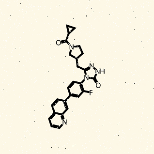 O=C(C1CC1)N1CCC(Cc2n[nH]c(=O)n2-c2ccc(-c3ccc4cccnc4c3)cc2F)C1